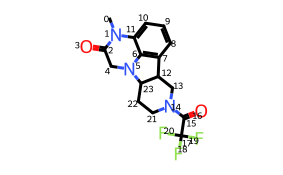 CN1C(=O)CN2c3c(cccc31)C1CN(C(=O)C(F)(F)F)CCC12